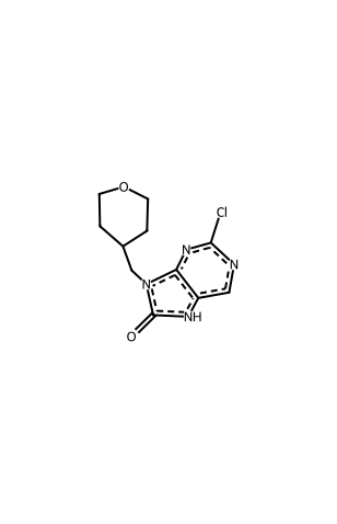 O=c1[nH]c2cnc(Cl)nc2n1CC1CCOCC1